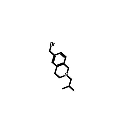 C[C](C)CN1CCc2cc(CBr)ccc2C1